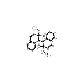 COC1(O)C=Cc2ccccc2C1C1c2ccccc2C=CC1(O)OC